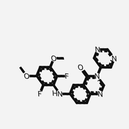 COc1cc(OC)c(F)c(Nc2ccc3ncn(-c4cncnc4)c(=O)c3c2)c1F